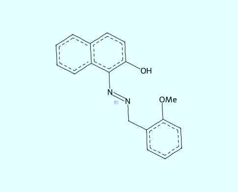 COc1ccccc1C/N=N/c1c(O)ccc2ccccc12